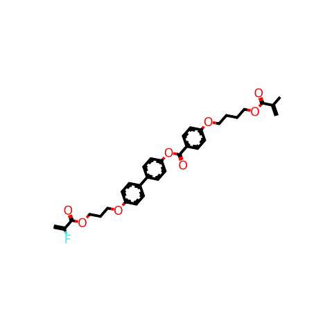 C=C(C)C(=O)OCCCCOc1ccc(C(=O)Oc2ccc(-c3ccc(OCCCOC(=O)C(=C)F)cc3)cc2)cc1